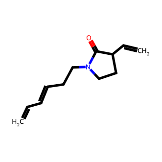 C=CC=CCCN1CCC(C=C)C1=O